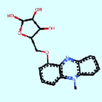 C[n+]1c2ccccc2nc2c(OCC3OC(O)C(O)C3O)cccc21